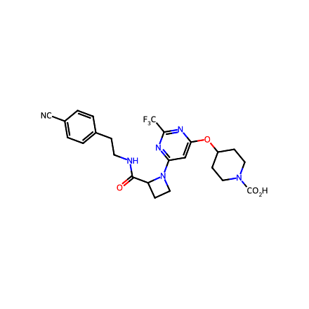 N#Cc1ccc(CCNC(=O)C2CCN2c2cc(OC3CCN(C(=O)O)CC3)nc(C(F)(F)F)n2)cc1